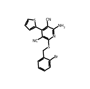 N#Cc1c(N)nc(SCc2ccccc2Br)c(C#N)c1-c1cccs1